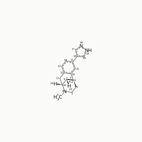 CN1CC[C@]23CCCC[C@H]2[C@H]1Cc1ccc(-c2cn[nH]c2)cc13